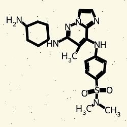 Cc1c(NC2CCC(N)CC2)nn2ccnc2c1Nc1ccc(S(=O)(=O)N(C)C)cc1